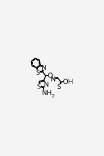 Nc1nc(C(ON=CC(O)=S)c2nc3ccccc3s2)cs1